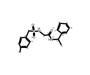 Cc1ccc(CS(=O)(=O)NCC(=O)NC(C)c2ccccc2)cc1